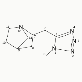 Cn1nnnc1CC1CC2CCN1C2